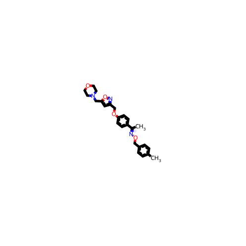 C/C(=N\OCc1ccc(C)cc1)c1ccc(OCc2cc(CN3CCOCC3)on2)cc1